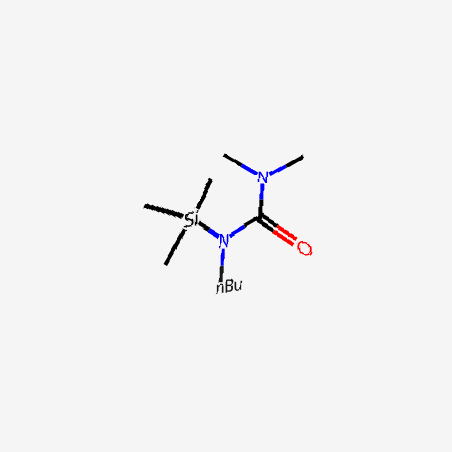 CCCCN(C(=O)N(C)C)[Si](C)(C)C